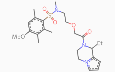 CCC1c2cccn2CCN1C(=O)COCCN(C)S(=O)(=O)c1c(C)cc(OC)c(C)c1C